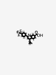 O=C(O)c1ccc2c(C3CC3)cc(-c3ccc(C(F)(F)F)cc3)nc2c1